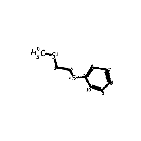 CSC[CH]Sc1ccccc1